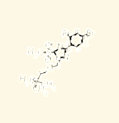 C[Si](C)(C)CCOCn1nc(-c2ccc(Br)cc2F)nc1S(C)(=O)=O